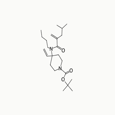 C=CC1(N(CCCC)C(=O)C(=C)CC(C)C)CCN(C(=O)OC(C)(C)C)CC1